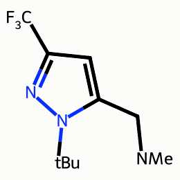 CNCc1cc(C(F)(F)F)nn1C(C)(C)C